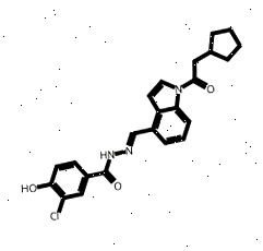 O=C(N/N=C/c1cccc2c1ccn2C(=O)CC1CCCC1)c1ccc(O)c(Cl)c1